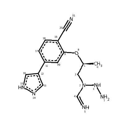 C[C@@H](CN(C=N)NN)Oc1cc(-c2cn[nH]c2)ccc1C#N